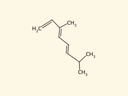 C=CC(C)=CC=CC(C)C